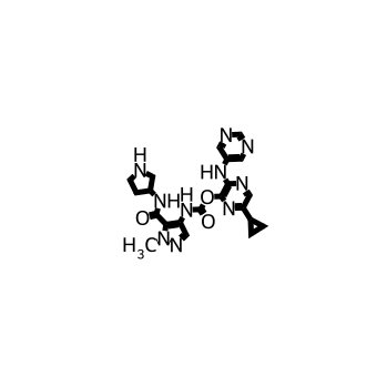 Cn1ncc(NC(=O)Oc2nc(C3CC3)cnc2Nc2cncnc2)c1C(=O)NC1CCNC1